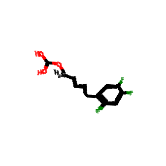 OC(O)O[SiH2]CCCCc1cc(F)c(F)cc1F